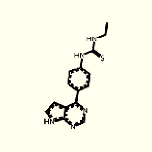 CCNC(=S)Nc1ccc(-c2ncnc3[nH]ccc23)cc1